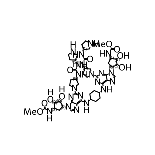 COC(=O)N[C@H]1C[C@@H](n2cnc3c(N[C@H]4CC[C@H](Nc5nc(N6CC[C@@H](NC(=O)N[C@@H]7CCNC7)C6)nc6c5ncn6[C@@H]5C[C@H](NC(=O)OC)[C@@H](O)[C@H]5O)CC4)nc(N4CC[C@@H](NC(=O)N[C@@H]5CCNC5)C4)nc32)[C@H](O)[C@@H]1O